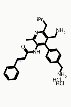 Cc1nc(CC(C)C)c(CN)c(-c2ccc(CN)cc2)c1NC(=O)/C=C/c1ccccc1.Cl.Cl